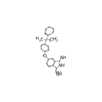 CC(C)(c1ccccc1)c1ccc(Oc2ccc3c(c2)C(=N)NC3=N)cc1